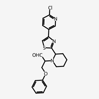 O=CC(COc1ccccc1)N1CCCCC1c1nc(-c2ccc(Cl)nc2)cs1